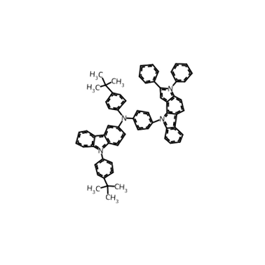 CC(C)(C)c1ccc(N(c2ccc(-n3c4ccccc4c4ccc5c(cc(-c6ccccc6)n5-c5ccccc5)c43)cc2)c2ccc3c(c2)c2ccccc2n3-c2ccc(C(C)(C)C)cc2)cc1